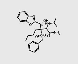 CCCCC(C(NC(C)C)C(N)=O)([C@@H](O)c1nc2ccccc2o1)S(=O)(=O)Cc1ccccc1